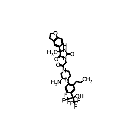 CCCc1cc(C(O)(C(F)(F)F)C(F)(F)F)ccc1N1CCN(C(=O)CN2C(=O)NC(C)(c3ccc4c(c3)CCO4)C2=O)C[C@H]1N